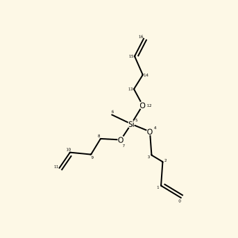 C=CCCO[Si](C)(OCCC=C)OCCC=C